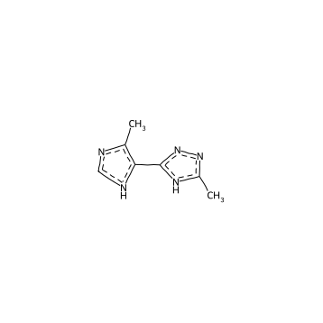 Cc1nnc(-c2[nH]cnc2C)[nH]1